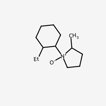 CCC1CCCCC1[N+]1([O-])CCCC1C